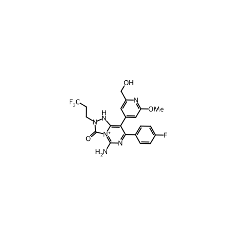 COc1cc(-c2c(-c3ccc(F)cc3)nc(N)[n+]3c(=O)n(CCC(F)(F)F)[nH]c23)cc(CO)n1